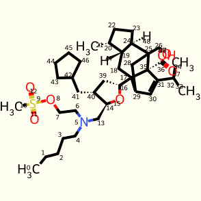 CCCCCN(CCOS(C)(=O)=O)C[C@@H]1O[C@@H](C23C[C@@H]4[C@H](C)CC[C@H]4C4(C=O)CC2C=C(C(C)C)[C@]43C(=O)O)C[C@H]1CC1CCCC1